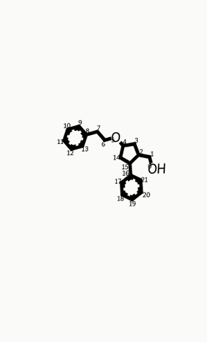 OCC1CC(OCCc2ccccc2)CC1c1ccccc1